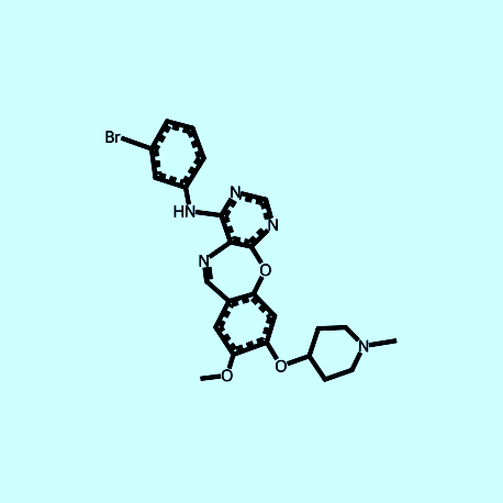 COc1cc2c(cc1OC1CCN(C)CC1)Oc1ncnc(Nc3cccc(Br)c3)c1N=C2